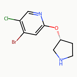 Clc1cnc(O[C@@H]2CCNC2)cc1Br